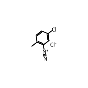 Cc1ccc(Cl)cc1[N+]#N.[Cl-]